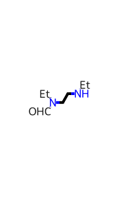 CCNCCN(C=O)CC